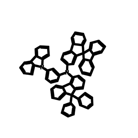 c1ccc(C2(c3ccccc3)c3ccccc3-c3c(N(c4cccc(-n5c6ccccc6c6ccccc65)c4)c4ccc5c(c4)C4(c6ccccc6-c6ccccc64)c4ccccc4-5)cccc32)cc1